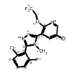 Cn1c(-c2cc(Cl)cnc2OCC(F)(F)F)nnc1-c1c(F)cccc1F